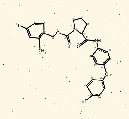 Cc1cc(F)ccc1COC(=O)N1CCCC1C(=O)Nc1ccc(Oc2ccc(F)cc2)cc1